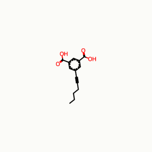 CCCCC#Cc1cc(C(=O)O)cc(C(=O)O)c1